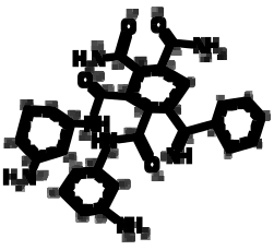 N=C(c1ccccc1)c1cc(C(N)=O)c(C(N)=O)c(C(=O)Nc2cccc(N)c2)c1C(=O)Nc1cccc(N)c1